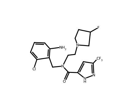 Nc1cccc(Cl)c1CN(CCN1CCC(F)C1)C(=O)c1cc(C(F)(F)F)n[nH]1